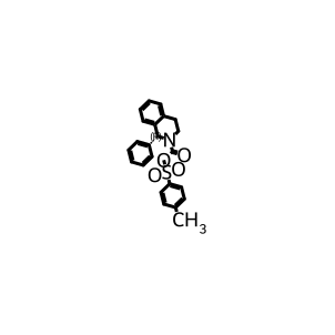 Cc1ccc(S(=O)(=O)OC(=O)N2CCc3ccccc3[C@H]2c2ccccc2)cc1